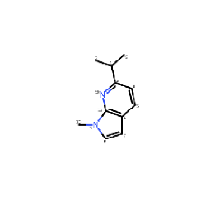 CC(C)c1ccc2ccn(C)c2n1